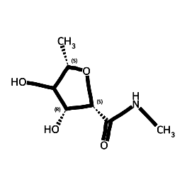 CNC(=O)[C@H]1O[C@@H](C)C(O)[C@H]1O